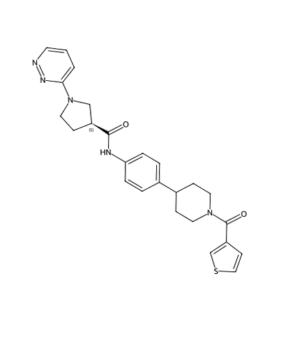 O=C(Nc1ccc(C2CCN(C(=O)c3ccsc3)CC2)cc1)[C@H]1CCN(c2cccnn2)C1